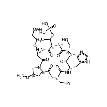 COCCOCCC(=O)N1C[C@H](ON)C[C@H]1C(=O)N[C@@H](CC(C)C)C(=O)N[C@@H](Cc1cnc[nH]1)C(=O)N[C@@H](CO)C(=O)N[C@H](C(N)=O)C(C)OP(=O)(O)O